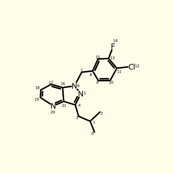 CC(C)Cc1nn(Cc2ccc(Cl)c(F)c2)c2cccnc12